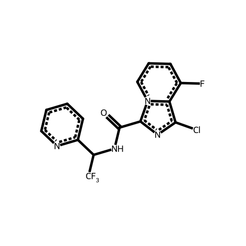 O=C(NC(c1ccccn1)C(F)(F)F)c1nc(Cl)c2c(F)cccn12